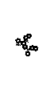 c1ccc(N(c2ccc3ccccc3c2)c2ccc3c(c2)c2sc4c5ccccc5ccc4c2c2c4ccccc4[nH]c32)cc1